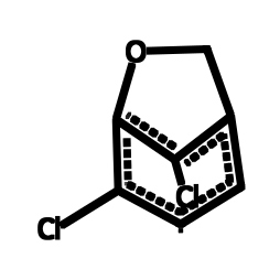 Clc1[c]cc2c(Cl)c1OC2